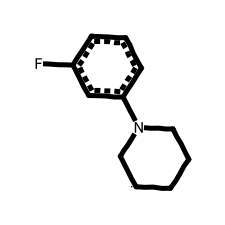 Fc1cccc(N2C[CH]CCC2)c1